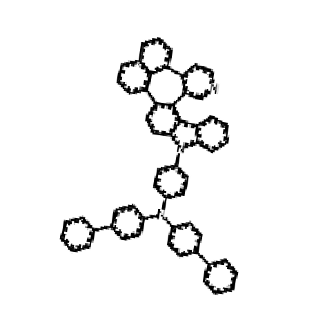 c1ccc(-c2ccc(N(c3ccc(-c4ccccc4)cc3)c3ccc(-n4c5ccccc5c5c6c(ccc54)-c4cccc5cccc(c45)-c4ccncc4-6)cc3)cc2)cc1